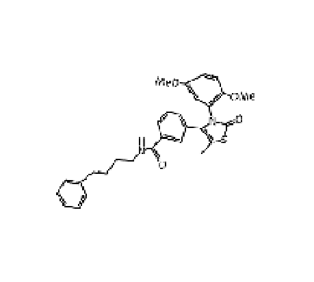 COc1ccc(OC)c(-n2c(-c3cccc(C(=O)NCCCCc4ccccc4)c3)c(C)sc2=O)c1